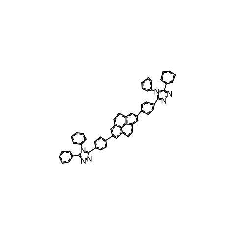 c1ccc(-c2nnc(-c3ccc(-c4cc5ccc6cc(-c7ccc(-c8nnc(-c9ccccc9)n8-c8ccccc8)cc7)cc7ccc(c4)c5c67)cc3)n2-c2ccccc2)cc1